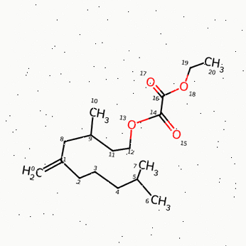 C=C(CCCC(C)C)CC(C)CCOC(=O)C(=O)OCC